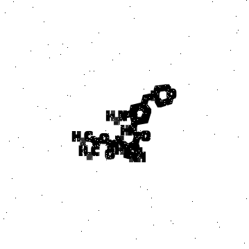 C=C(C)OC(=O)Nc1c[nH]nc1C(=O)Nc1ccc(CN2CCOCC2)cc1N